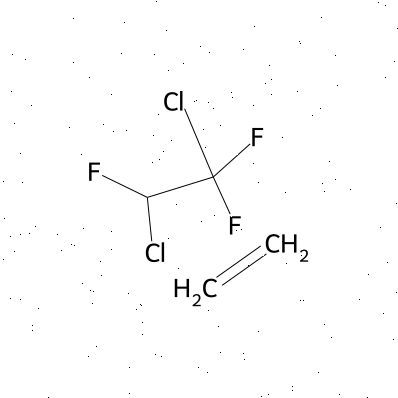 C=C.FC(Cl)C(F)(F)Cl